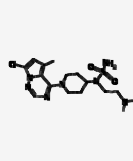 Cc1cc(Cl)n2ncnc(N3CCC(N(CCN(C)C)S(N)(=O)=O)CC3)c12